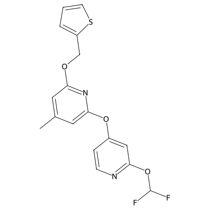 Cc1cc(OCc2cccs2)nc(Oc2ccnc(OC(F)F)c2)c1